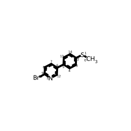 CSc1ccc(-c2ccc(Br)nc2)cc1